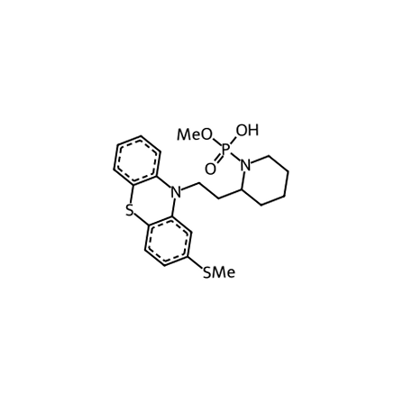 COP(=O)(O)N1CCCCC1CCN1c2ccccc2Sc2ccc(SC)cc21